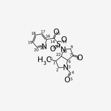 CC1CN([C]=O)C2C(=O)CN(S(=O)(=O)C(=O)c3ccccn3)C12